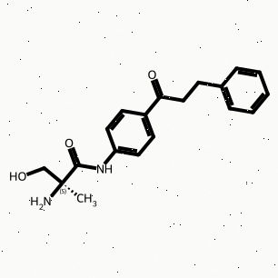 C[C@](N)(CO)C(=O)Nc1ccc(C(=O)CCc2ccccc2)cc1